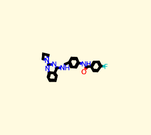 O=C(Nc1ccc(CNc2nc(N3CCC3)nc3ccccc23)cc1)c1ccc(F)cc1